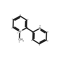 C[n+]1ccccc1-c1ccccn1